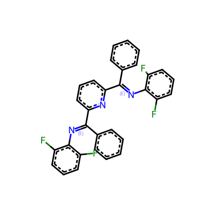 Fc1cccc(F)c1/N=C(\c1ccccc1)c1cccc(/C(=N/c2c(F)cccc2F)c2ccccc2)n1